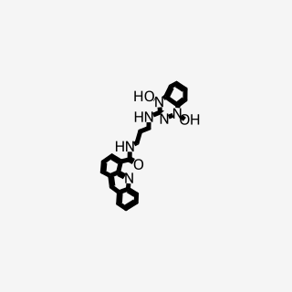 O=C(NCCCNC1=NN(O)c2ccccc2N1O)c1cccc2cc3ccccc3nc12